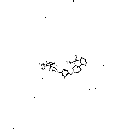 CC(C)OC(=O)c1cccnc1N1CCN(Cc2ccc(CCC(C)(C)[Si](C)(C)O)cn2)CC1